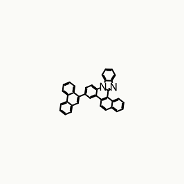 c1ccc2c(c1)cc(-c1ccc3c(c1)c1ccc4ccccc4c1c1nc4ccccc4n31)c1ccccc12